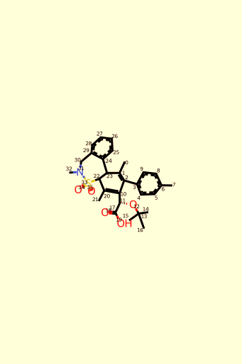 CC1=C(c2ccc(C)cc2)C([C@H](OC(C)(C)C)C(=O)O)=C(C)C2C1c1ccccc1CN(C)S2(=O)=O